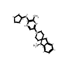 Cc1nc(N2CCC3(CC2)Cc2ccccc2[C@H]3N)cnc1SC1CCCC1